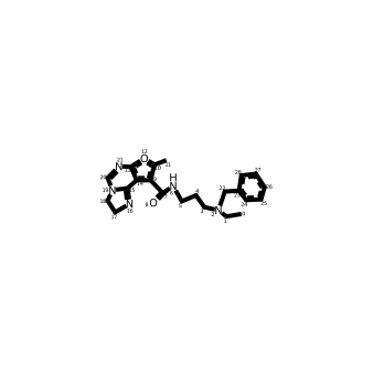 CCN(CCCNC(=O)c1c(C)oc2c1C1=NCCN1C=N2)Cc1ccccc1